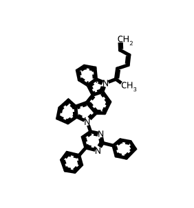 C=C/C=C\C=C(/C)n1c2ccccc2c2c3c4ccccc4n(-c4cc(-c5ccccc5)nc(-c5ccccc5)n4)c3ccc21